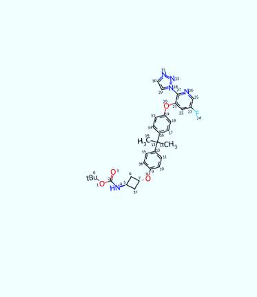 CC(C)(C)OC(=O)N[C@H]1C[C@H](Oc2ccc(C(C)(C)c3ccc(Oc4cc(F)cnc4-n4ccnn4)cc3)cc2)C1